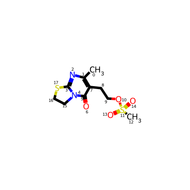 Cc1nc2n(c(=O)c1CCOS(C)(=O)=O)CCS2